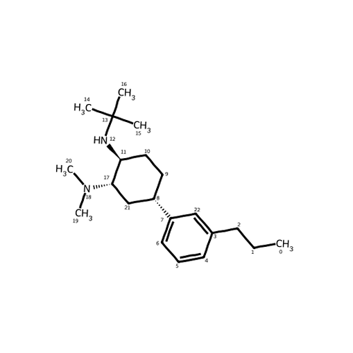 CCCc1cccc([C@H]2CC[C@H](NC(C)(C)C)[C@@H](N(C)C)C2)c1